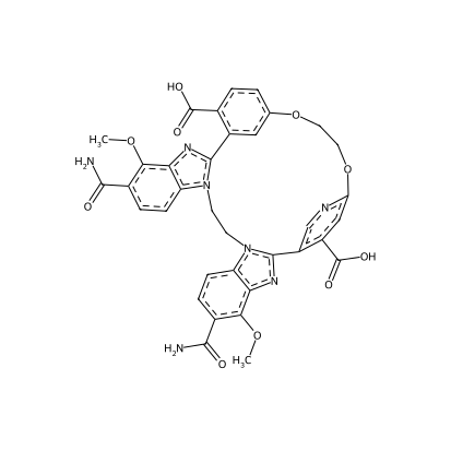 COc1c(C(N)=O)ccc2c1nc1n2CCn2c(nc3c(OC)c(C(N)=O)ccc32)-c2cc(ccc2C(=O)O)OCCOc2cc(C(=O)O)c-1cn2